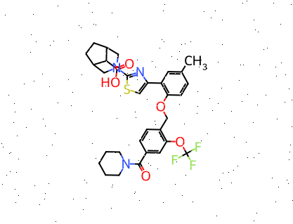 Cc1ccc(OCc2ccc(C(=O)N3CCCCC3)cc2OC(F)(F)F)c(-c2csc(N3CC4CCC(C3)C4C(=O)O)n2)c1